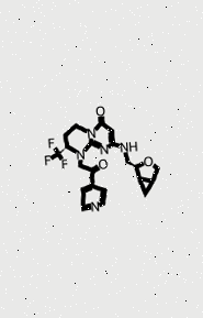 O=C(CN1c2nc(NC[C@H]3OCC4CC43)cc(=O)n2CC[C@H]1C(F)(F)F)c1ccncc1